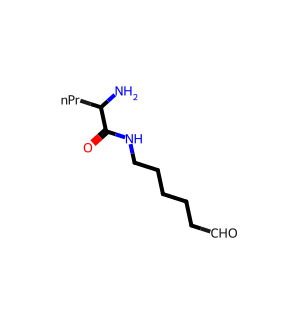 CCCC(N)C(=O)NCCCCCC=O